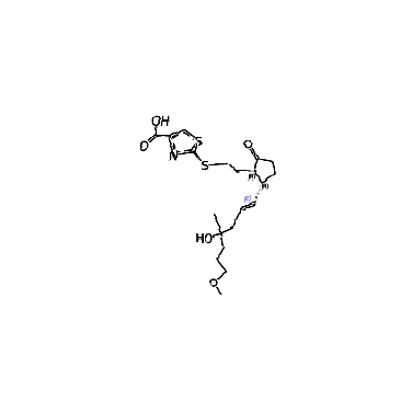 COCCCC(C)(O)C/C=C/[C@H]1CCC(=O)[C@@H]1CCSc1nc(C(=O)O)cs1